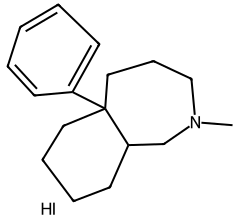 CN1CCCC2(c3ccccc3)CCCCC2C1.I